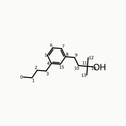 CCCCc1cccc(CCC(C)(C)O)c1